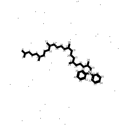 CC(C)CCCC(C)CCCC(C)CCCCC(C)CCCC(C)CCCC(C)CN(c1ccccc1)c1ccccc1